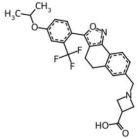 CC(C)Oc1ccc(-c2onc3c2CCc2cc(CN4CC(C(=O)O)C4)ccc2-3)c(C(F)(F)F)c1